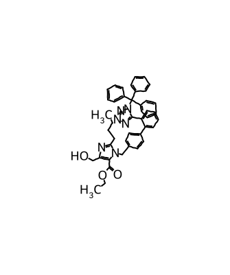 CCCCc1nc(CO)c(C(=O)OCC)n1Cc1ccc(-c2ccccc2-c2nnnn2C(c2ccccc2)(c2ccccc2)c2ccccc2)cc1